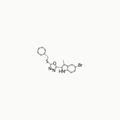 Cc1c(-c2nnc(SCc3ccccc3)o2)[nH]c2ccc(Br)cc12